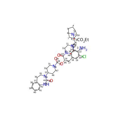 CCOC(=O)CN1C2CCC1CC(CN1CCN(C(=O)[C@@H](Cc3cc(Cl)c(N)c(C(F)(F)F)c3)OC(=O)N3CCC(N4CCc5ccccc5NC4=O)CC3)CC1)C2